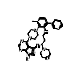 Cc1ccc(-c2ccccc2)c(OCCCN2CCOCC2)c1N1CCN(c2ncnc3[nH]nc(Br)c23)CC1